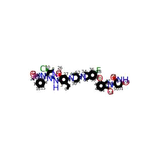 CCc1cc(Nc2ncc(Cl)c(Nc3ccccc3P(C)(C)=O)n2)c(OC)cc1N1CCC(N2Cc3cc(F)c(Oc4cccc5c4CN(C4CCC(=O)NC4=O)C5=O)cc3C2)CC1